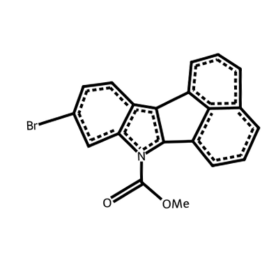 COC(=O)n1c2c(c3ccc(Br)cc31)-c1cccc3cccc-2c13